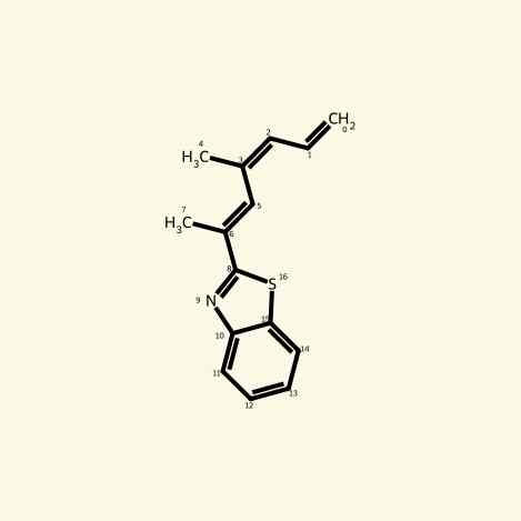 C=C/C=C(C)\C=C(/C)c1nc2ccccc2s1